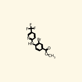 COC(=O)c1ccc(Nc2ccc(C(F)(F)F)cn2)c(Br)c1